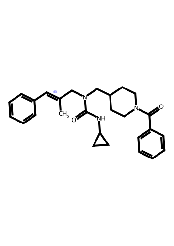 C/C(=C\c1ccccc1)CN(CC1CCN(C(=O)c2ccccc2)CC1)C(=O)NC1CC1